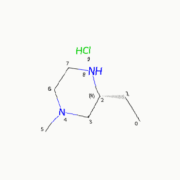 CC[C@@H]1CN(C)CCN1.Cl